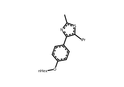 CCCCCCOc1ccc(-c2nc(C)sc2C(C)C)cc1